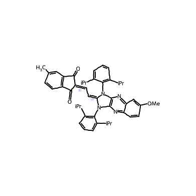 COc1ccc2nc3c(nc2c1)N(c1c(C(C)C)cccc1C(C)C)/C(=C\C=C1/C(=O)c2ccc(C)cc2C1=O)N3c1c(C(C)C)cccc1C(C)C